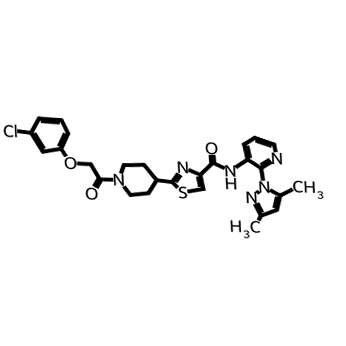 Cc1cc(C)n(-c2ncccc2NC(=O)c2csc(C3CCN(C(=O)COc4cccc(Cl)c4)CC3)n2)n1